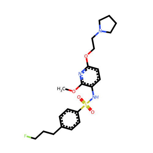 COc1nc(OCCN2CCCC2)ccc1NS(=O)(=O)c1ccc(CCCF)cc1